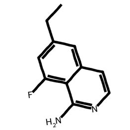 CCc1cc(F)c2c(N)nccc2c1